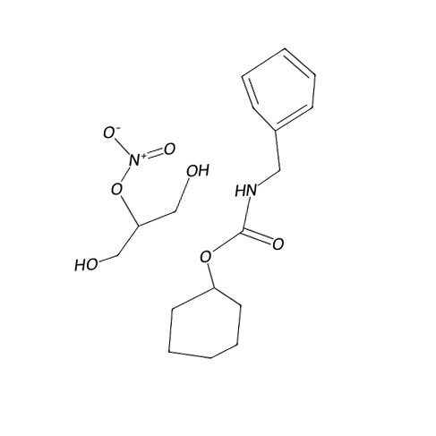 O=C(NCc1ccccc1)OC1CCCCC1.O=[N+]([O-])OC(CO)CO